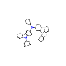 C1=CC2C3CCC(N(c4ccccc4)c4ccc5c(c4)c4c(n5-c5ccccc5)C=CCC4)C=C3C3=c4ccccc4=CC(=C1)C32